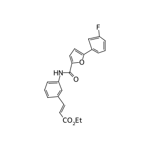 CCOC(=O)C=Cc1cccc(NC(=O)c2ccc(-c3cccc(F)c3)o2)c1